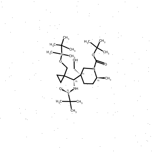 C[C@H]1CC[C@@](CO)([C@H](N[S@+]([O-])C(C)(C)C)C2(CO[Si](C)(C)C(C)(C)C)CC2)CN1C(=O)OC(C)(C)C